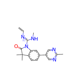 C=C/N=C(\NC)N1C(=O)C(C)(C)c2ccc(-c3cnc(C)nc3)cc21